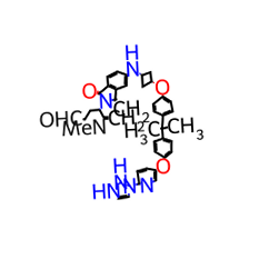 C=C(NC)C(CCC=O)N1C(=C)c2cc(N[C@H]3C[C@@H](Oc4ccc(C(C)(C)c5ccc(Oc6ccc(N7C=CNN7)nc6)cc5)cc4)C3)ccc2C1=O